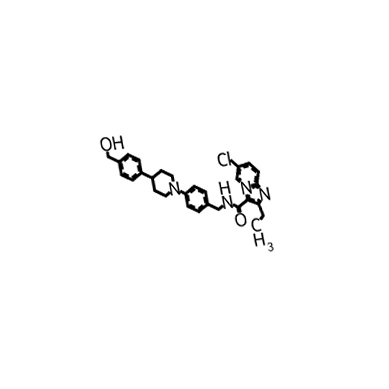 CCc1nc2ccc(Cl)cn2c1C(=O)NCc1ccc(N2CCC(c3ccc(CO)cc3)CC2)cc1